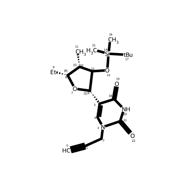 C#CCn1cc([C@@H]2O[C@H](CC)[C@H](C)C2O[Si](C)(C)C(C)(C)C)c(=O)[nH]c1=O